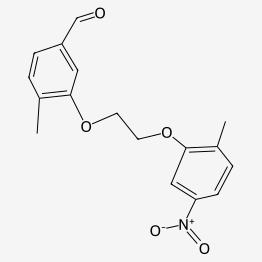 Cc1ccc(C=O)cc1OCCOc1cc([N+](=O)[O-])ccc1C